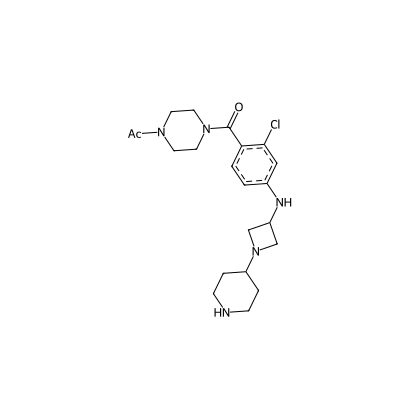 CC(=O)N1CCN(C(=O)c2ccc(NC3CN(C4CCNCC4)C3)cc2Cl)CC1